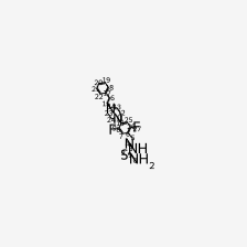 NC(=S)N/N=C/c1cc(F)c(N2CCN(CCc3ccccc3)CC2)cc1F